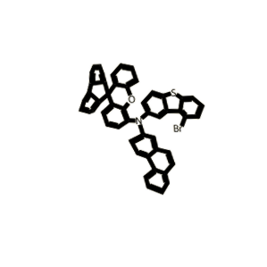 Brc1cccc2sc3ccc(N(c4ccc5c(ccc6ccccc65)c4)c4cccc5c4Oc4ccccc4C54c5ccccc5-c5ccccc54)cc3c12